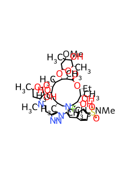 CC[C@H]1OC(=O)[C@H](C)[C@@H](O[C@H]2C[C@@](C)(OC)[C@@H](O)[C@H](C)O2)[C@H](C)[C@@H](O[C@@H]2O[C@H](C)C[C@H](N(C)CCc3cn([C@H](CF)Cc4ccc(S(=O)(=O)NC)cc4)nn3)[C@H]2O)[C@](C)(O)C[C@@H](C)CN(C)[C@H](C)[C@@H](O)[C@]1(C)O